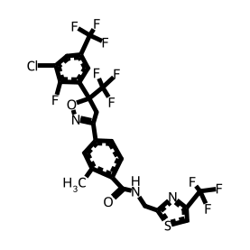 Cc1cc(C2=NOC(c3cc(C(F)(F)F)cc(Cl)c3F)(C(F)(F)F)C2)ccc1C(=O)NCc1nc(C(F)(F)F)cs1